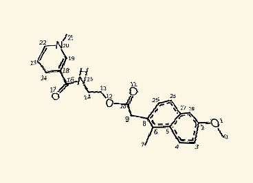 COc1ccc2c(C)c(CC(=O)OCCNC(=O)C3=CN(C)C=CC3)ccc2c1